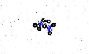 c1ccc(-c2cccc(-c3nc4c5ccccc5c5ccccc5c4n3-c3ccc(-c4nc(-c5ccccc5)nc(-c5ccccc5)n4)cc3)c2)cc1